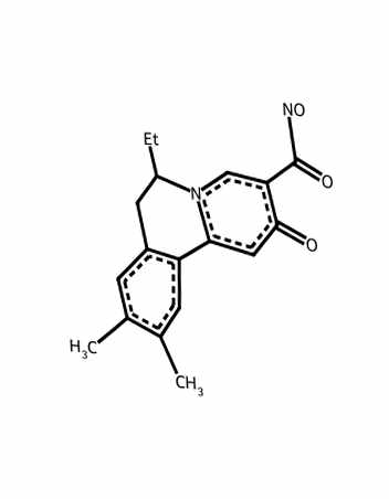 CCC1Cc2cc(C)c(C)cc2-c2cc(=O)c(C(=O)N=O)cn21